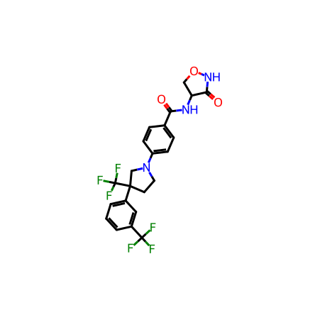 O=C(NC1CONC1=O)c1ccc(N2CCC(c3cccc(C(F)(F)F)c3)(C(F)(F)F)C2)cc1